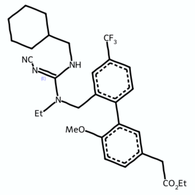 CCOC(=O)Cc1ccc(OC)c(-c2ccc(C(F)(F)F)cc2CN(CC)/C(=N/C#N)NCC2CCCCC2)c1